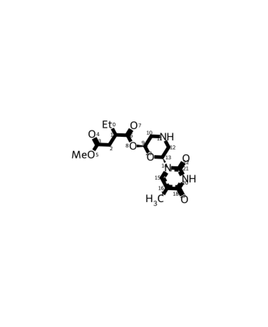 CCC(CC(=O)OC)C(=O)O[C@H]1CNC[C@H](n2cc(C)c(=O)[nH]c2=O)O1